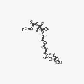 CCCC[Si](C)(C)O[Si](C)(C)CCCOCCOC(=O)C(C)(C)SC(=S)SCCC